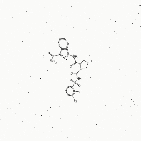 NC(=O)n1cc(NC(=O)N2C[C@H](F)C[C@H]2C(=O)NS(=O)(=O)c2cccc(Cl)c2F)c2ccccc21